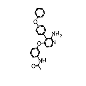 CC(=O)Nc1cccc(Oc2ccnc(N)c2-c2ccc(Oc3ccccc3)cc2)c1